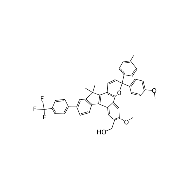 COc1ccc(C2(c3ccc(C)cc3)C=Cc3c4c(c5cc(CO)c(OC)cc5c3O2)-c2ccc(-c3ccc(C(F)(F)F)cc3)cc2C4(C)C)cc1